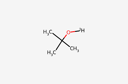 [2H]OC(C)(C)C